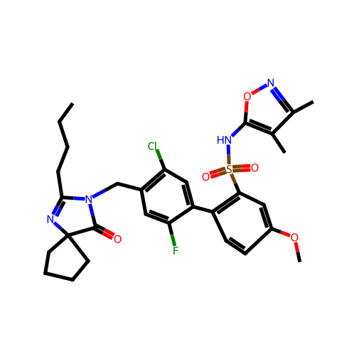 CCCCC1=NC2(CCCC2)C(=O)N1Cc1cc(F)c(-c2ccc(OC)cc2S(=O)(=O)Nc2onc(C)c2C)cc1Cl